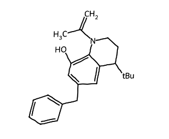 C=C(C)N1CCC(C(C)(C)C)c2cc(Cc3ccccc3)cc(O)c21